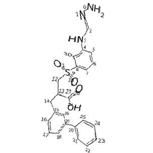 NN=CNc1cccc(S(=O)(=O)CC(Cc2cccc(-c3ccccc3)c2)C(=O)O)c1